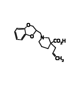 C=CCC1(C(=O)O)CCCN(CC2COc3ccccc3O2)C1